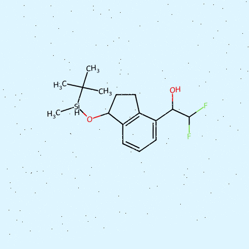 C[SiH](OC1CCc2c1cccc2C(O)C(F)F)C(C)(C)C